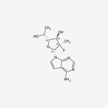 CC(O)[C@H]1O[C@@H](n2ccc3c(N)ncnc32)[C@](C)(F)[C@@H]1O